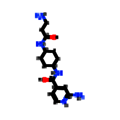 NCCC(=O)NC1CCC(NC(=O)c2ccnc(N)c2)CC1